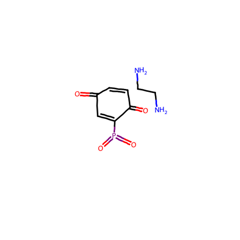 NCCN.O=C1C=CC(=O)C(P(=O)=O)=C1